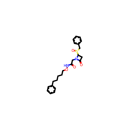 O=C(CN1C(=O)CC1[S+]([O-])Cc1ccccc1)NOCCCCCc1ccccc1